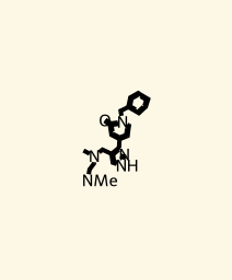 CNCCN(C)Cc1c[nH]nc1-c1ccn(Cc2ccccc2)c(=O)c1